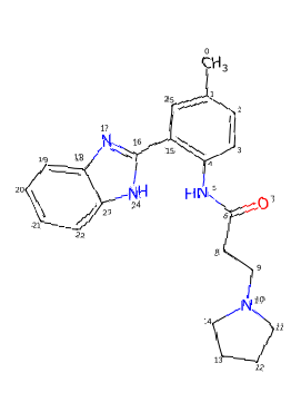 Cc1ccc(NC(=O)CCN2CCCC2)c(-c2nc3ccccc3[nH]2)c1